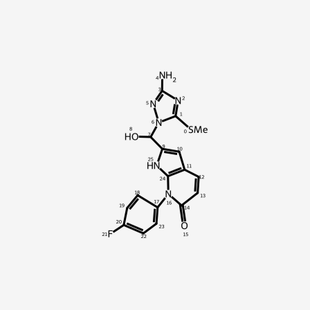 CSc1nc(N)nn1C(O)c1cc2ccc(=O)n(-c3ccc(F)cc3)c2[nH]1